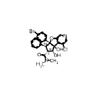 CN(C)C(=O)[C@H]1[C@@H](O)[C@@]2(O)c3c(Cl)cncc3O[C@@]2(c2ccc(Br)cc2)[C@@H]1c1ccccc1